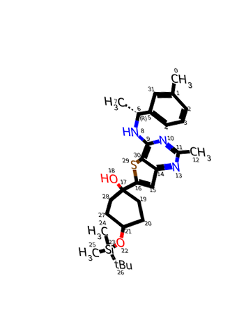 Cc1cccc([C@@H](C)Nc2nc(C)nc3cc(C4(O)CCC(O[Si](C)(C)C(C)(C)C)CC4)sc23)c1